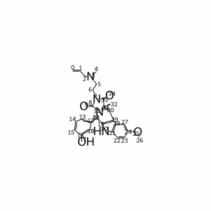 C=CCN(C)CCN1C(=O)N2[C@H](c3cccc(O)c3)c3[nH]c4ccc(OC)cc4c3C[C@@]2(C)C1=O